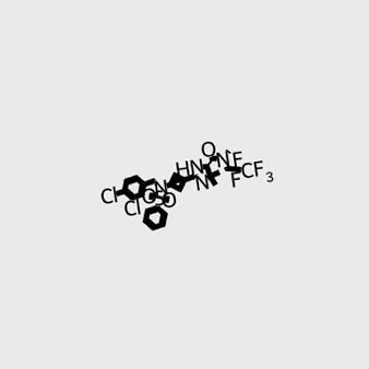 CN(CC(F)(F)C(F)(F)F)C(=O)[C@@H]1NC(C23CC(N(Cc4ccc(Cl)c(Cl)c4)S(=O)(=O)c4ccccc4)(C2)C3)=NC1(C)C